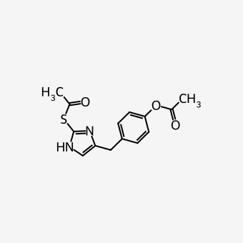 CC(=O)Oc1ccc(Cc2c[nH]c(SC(C)=O)n2)cc1